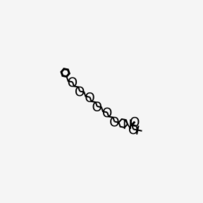 CC(C)(C)OC(=O)N1CCC(OCCOCCOCCOCCOCCOCc2ccccc2)CC1